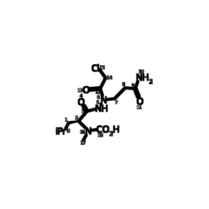 CC(C)C[C@@H](C(=O)NN(CCC(N)=O)C(=O)CCl)N(C)C(=O)O